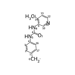 [CH2]c1ccc(NC(=O)Nc2cnccc2C)cc1